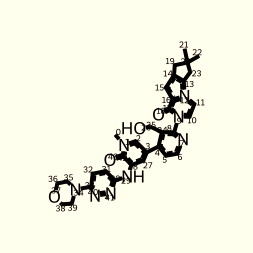 Cn1cc(-c2ccnc(-n3ccn4c5c(cc4c3=O)CC(C)(C)C5)c2CO)cc(Nc2ccc(N3CCOCC3)nn2)c1=O